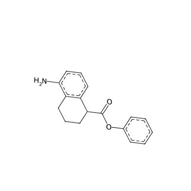 Nc1cccc2c1CCCC2C(=O)Oc1ccccc1